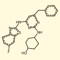 OC1CCC(Nc2nc(Cc3ccccc3)cc(Nc3nc4ccc(F)cc4s3)n2)CC1